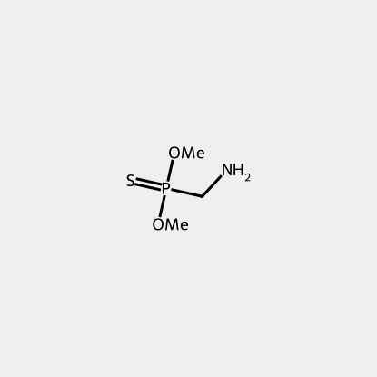 COP(=S)(CN)OC